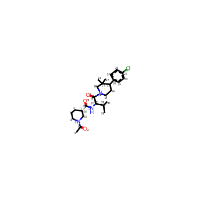 CC(=O)N1CCC[C@H](C(=O)N[C@@H](C(=O)N2CCC(c3ccc(Cl)cc3)C(C)(C)C2)C(C)C)C1